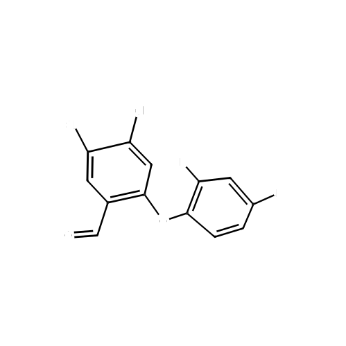 O=Cc1cc(Cl)c(Cl)cc1Oc1ccc(F)cc1F